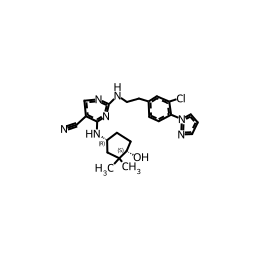 CC1(C)C[C@H](Nc2nc(NCCc3ccc(-n4cccn4)c(Cl)c3)ncc2C#N)CC[C@@H]1O